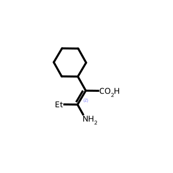 CC/C(N)=C(/C(=O)O)C1CCCCC1